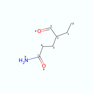 CCC([C]=O)CCC(N)=O